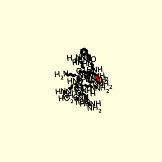 CCCC[C@H](NC(=O)[C@H](CCCNC(=N)N)NC(=O)[C@H](CCCNC(=N)N)NC(=O)[C@H](CCCNC(=N)N)NC(=O)[C@H](CCCCN)NC(=O)[C@H](CCCNC(=N)N)NC(=O)[C@H](CCCNC(=N)N)NC(=O)[C@H](CCCCN)NC(=O)CNC(=O)[C@@H](N)Cc1ccccc1)C(=O)O